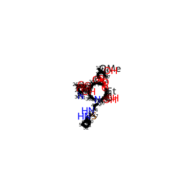 CC[C@H]1OC(=O)[C@H](C)[C@@H](O[C@H]2C[C@@](C)(OC)[C@@H](O)[C@H](C)O2)[C@H](C)[C@@H](O[C@@H]2O[C@H](C)C[C@H](N(C)C)[C@H]2O)[C@](C)(O)C[C@@H](C)CN(CCCNC(=S)NC2CC3C=CC2C3)[C@H](C)[C@@H](O)[C@]1(C)O